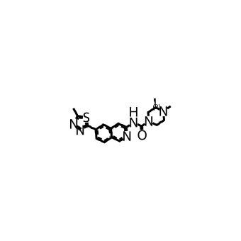 Cc1nnc(-c2ccc3cnc(NC(=O)N4CCN(C)[C@H](C)C4)cc3c2)s1